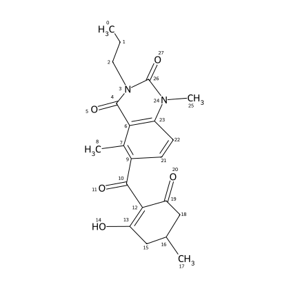 CCCn1c(=O)c2c(C)c(C(=O)C3=C(O)CC(C)CC3=O)ccc2n(C)c1=O